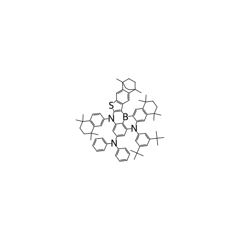 CC(C)(C)c1cc(N2c3cc4c(cc3B3c5c2cc(N(c2ccccc2)c2ccccc2)cc5N(c2ccc5c(c2)C(C)(C)CCC5(C)C)c2sc5cc6c(cc5c23)C2(C)CCC6(C)CC2)C(C)(C)CCC4(C)C)cc(C(C)(C)C)c1